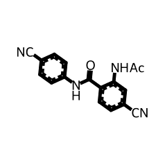 CC(=O)Nc1cc(C#N)ccc1C(=O)Nc1ccc(C#N)cc1